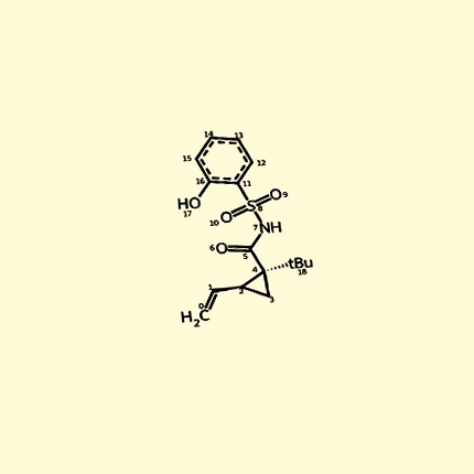 C=C[C@@H]1C[C@@]1(C(=O)NS(=O)(=O)c1ccccc1O)C(C)(C)C